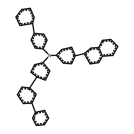 c1ccc(-c2ccc(N(c3ccc(-c4cccc(-c5ccccc5)c4)cc3)c3ccc(-c4ccc5ccccc5c4)cc3)cc2)cc1